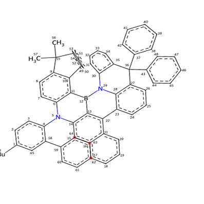 CC(C)(C)c1ccc(N2c3ccc4c(c3B3c5c2cc2ccccc2c5-c2cccc5c2N3c2ccccc2C5(c2ccccc2)c2ccccc2)-c2ccccc2C4(C)C)c(-c2ccccc2)c1